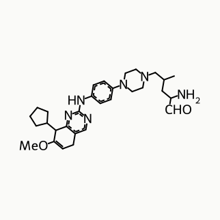 COC1=CCc2cnc(Nc3ccc(N4CCN(CC(C)CC(N)C=O)CC4)cc3)nc2C1C1CCCC1